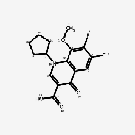 COc1c(F)c(F)cc2c(=O)c(C(=O)O)cn(C3CCCC3)c12